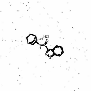 Cl.O=C(N[C@H]1CN2CCC1CC2)c1nsc2ccccc12